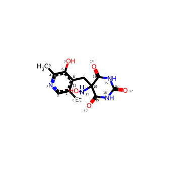 CCc1cnc(C)c(O)c1CC1(NO)C(=O)NC(=O)NC1=O